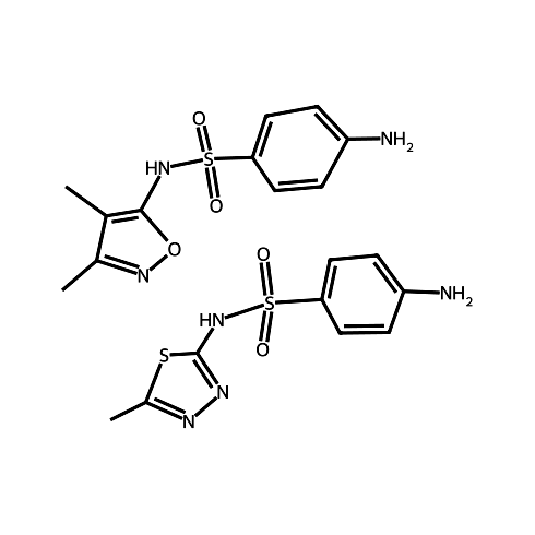 Cc1nnc(NS(=O)(=O)c2ccc(N)cc2)s1.Cc1noc(NS(=O)(=O)c2ccc(N)cc2)c1C